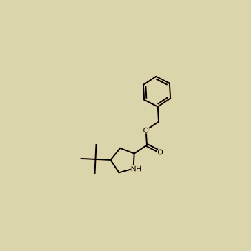 CC(C)(C)C1CNC(C(=O)OCc2ccccc2)C1